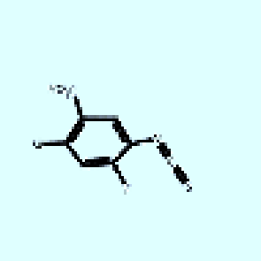 O=C(O)c1cc(N=C=S)c(F)cc1Cl